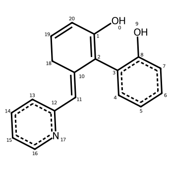 OC1=C(c2ccccc2O)C(=Cc2ccccn2)CC=C1